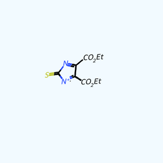 CCOC(=O)C1=NC(=S)[N+]=C1C(=O)OCC